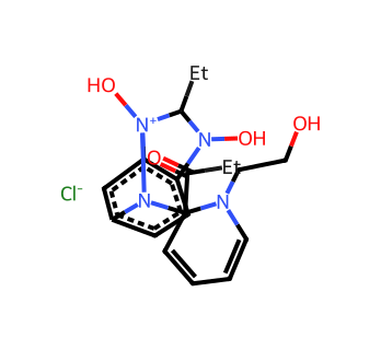 CCC(=O)C1(N2c3ccc4c(c3)[N+]2(O)C(CC)N4O)C=CC=CN1CCO.[Cl-]